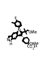 COCC(C)(C)c1c([C@H]2CC[C@](OC)(C(=O)O)CC2)c2cc3[nH]ncc3cc2n1-c1ccc(F)c(C)c1